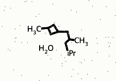 CC(C)CC(C)CC1CC(C)C1.O